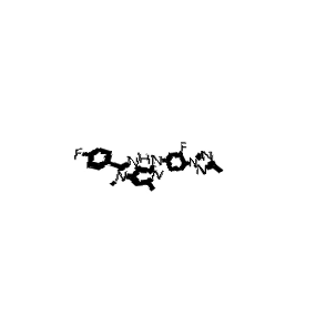 Cc1cc2c(nc(-c3ccc(F)cc3)n2C)c(Nc2ccc(-n3cnc(C)n3)c(F)c2)n1